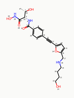 C[C@H](O)[C@H](NC(=O)c1ccc(C#Cc2ccc(CNCCCCO)o2)cc1)C(=O)NO